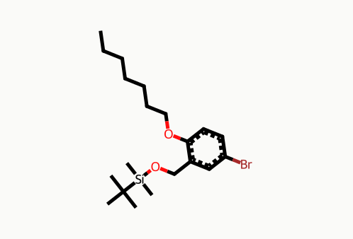 CCCCCCCOc1ccc(Br)cc1CO[Si](C)(C)C(C)(C)C